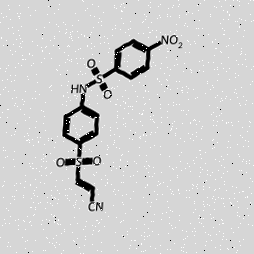 N#CC=CS(=O)(=O)c1ccc(NS(=O)(=O)c2ccc([N+](=O)[O-])cc2)cc1